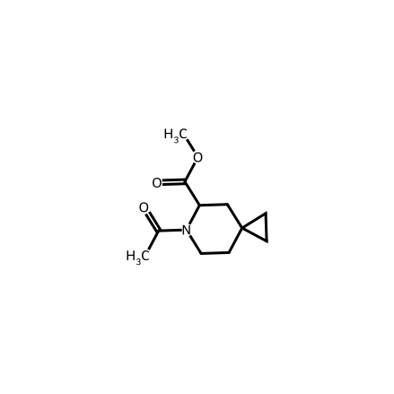 COC(=O)C1CC2(CCN1C(C)=O)CC2